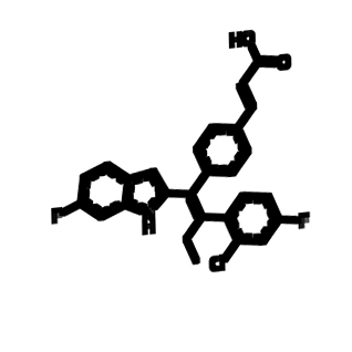 CC/C(=C(/c1ccc(/C=C/C(=O)O)cc1)c1cc2ccc(F)cc2[nH]1)c1ccc(F)cc1Cl